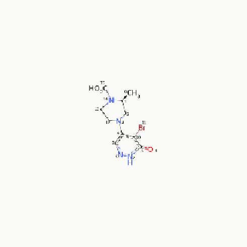 C[C@H]1CN(c2cn[nH]c(=O)c2Br)CCN1C(=O)O